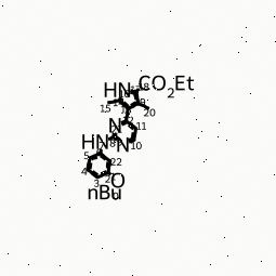 CCCCOc1cccc(Nc2nccc(-c3c(C)[nH]c(C(=O)OCC)c3C)n2)c1